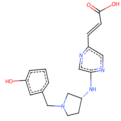 O=C(O)C=Cc1cnc(N[C@@H]2CCN(Cc3cccc(O)c3)C2)cn1